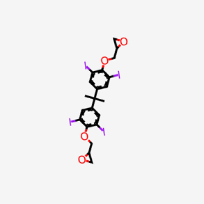 CC(C)(c1cc(I)c(OCC2CO2)c(I)c1)c1cc(I)c(OCC2CO2)c(I)c1